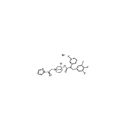 O=C(C[N+]12CCC(CC1)[C@H](OC(=O)N(Cc1cc(F)c(F)c(F)c1)c1cccc(F)c1)C2)c1cccs1.[Br-]